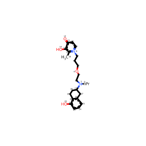 CCCN(CCOCCCn1ccc(=O)c(O)c1C)C1CCc2c(O)cccc2C1